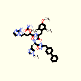 COc1cc(C)c(CC(NC(=O)C(CCCn2ccnc2N)OC(N)=O)C(=O)N[C@@H](Cc2cn(C)cn2)c2nc(Cc3ccc(-c4ccccc4)cc3)no2)c(C)c1